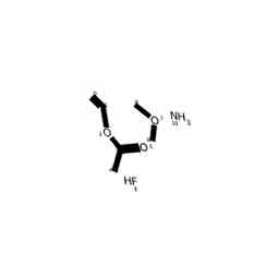 C=COC(C)=O.COC.F.N